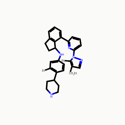 CCOC(=O)c1cnn(-c2cccc(-c3cccc4c3C(Nc3ccc(C5CCNCC5)c(CC)c3)CC4)n2)c1CC